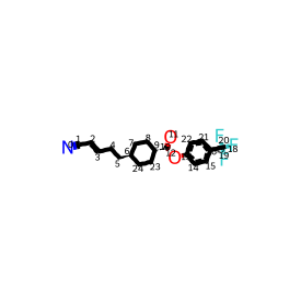 N#CC=CCC[C@H]1CC[C@H](C(=O)Oc2ccc(C(F)(F)F)cc2)CC1